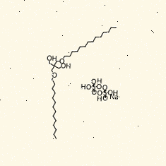 CCCCCCCCCCCCCCOCC(CO)(CO)COCCCCCCCCCCCCCC.O=S(=O)(O)O.O=S(=O)(O)O.[Na]